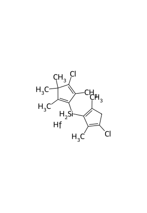 CC1=C([SiH2]C2=C(C)C(C)(C)C(Cl)=C2C)C(C)=C(Cl)C1.[Hf]